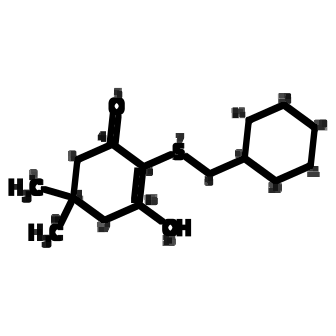 CC1(C)CC(=O)C(SCC2CCCCC2)=C(O)C1